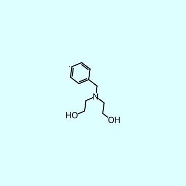 OCCN(CCO)Cc1cc[c]cc1